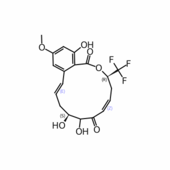 COc1cc(O)c2c(c1)/C=C/C[C@H](O)C(O)C(=O)/C=C\C[C@H](C(F)(F)F)OC2=O